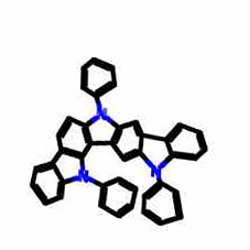 c1ccc(-n2c3ccccc3c3cc4c(cc32)c2c(ccc3c5ccccc5n(-c5ccccc5)c32)n4-c2ccccc2)cc1